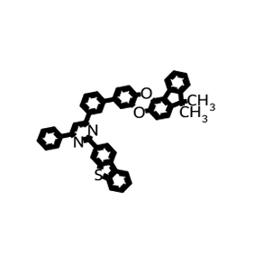 CC1(C)c2ccccc2-c2c1ccc1c2Oc2ccc(-c3cccc(-c4cc(-c5ccccc5)nc(-c5ccc6c(c5)sc5ccccc56)n4)c3)cc2O1